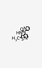 Cc1sc2nccc3c2c1NC(=O)N3c1ccccn1